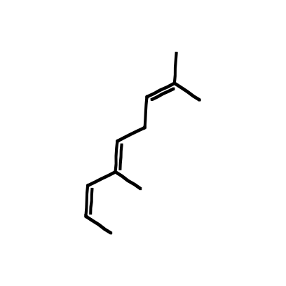 C/C=C\C(C)=C\CC=C(C)C